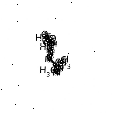 Cc1c(C#Cc2cnn(CCN3CCC(Nc4cccc5c4C(=O)N(C4CCC(=O)NC4=O)C5=O)CC3)c2)sc2c1C(c1ccc(Cl)cc1)=NCc1nnc(C)n1-2